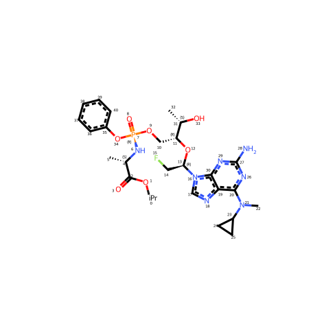 CC(C)OC(=O)[C@H](C)N[P@@](=O)(OC[C@@H](O[C@H](CF)n1cnc2c(N(C)C3CC3)nc(N)nc21)[C@H](C)O)Oc1ccccc1